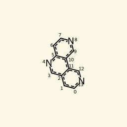 c1cc2cnc3ccncc3c2cn1